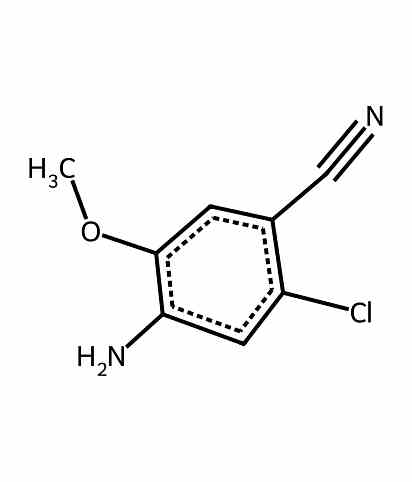 COc1cc(C#N)c(Cl)cc1N